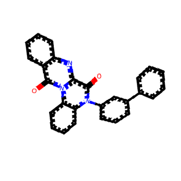 O=c1c2nc3ccccc3c(=O)n2c2ccccc2n1-c1cccc(-c2ccccc2)c1